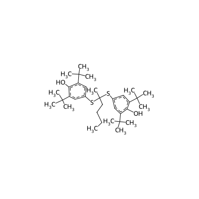 CCCCC(C)(Sc1cc(C(C)(C)C)c(O)c(C(C)(C)C)c1)Sc1cc(C(C)(C)C)c(O)c(C(C)(C)C)c1